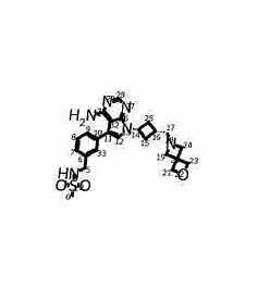 CS(=O)(=O)NCc1cccc(-c2cn([C@H]3C[C@@H](CN4CC5(COC5)C4)C3)c3ncnc(N)c23)c1